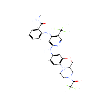 CNC(=O)c1ccccc1Nc1cc(Nc2ccc3c(c2)OCC2CN(C(=O)C(F)(F)F)CCN32)ncc1C(F)(F)F